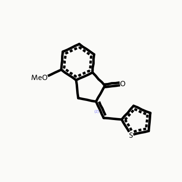 COc1cccc2c1C/C(=C/c1cccs1)C2=O